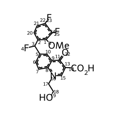 COc1c(C(F)c2ccc3c(c2)c(=O)c(C(=O)O)cn3CCO)ccc(F)c1F